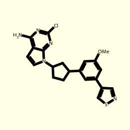 COc1cc(-c2cnsc2)cc(C2CCC(n3ccc4c(N)nc(Cl)nc43)C2)c1